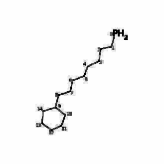 PCCCCCCCCC1CCCCC1